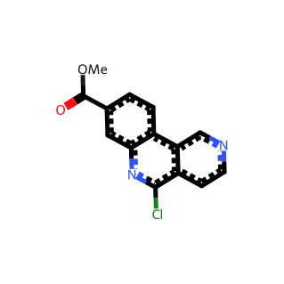 COC(=O)c1ccc2c(c1)nc(Cl)c1ccncc12